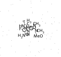 COCCN(C)c1cn(C)c2ccc(Nc3nc(N[C@H](C4CC4)[C@H](C)N)c(F)cc3C(N)=O)cc12